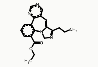 CCCC1=NCN2C1=Cc1cncnc1-c1cccc(C(=O)OCC)c12